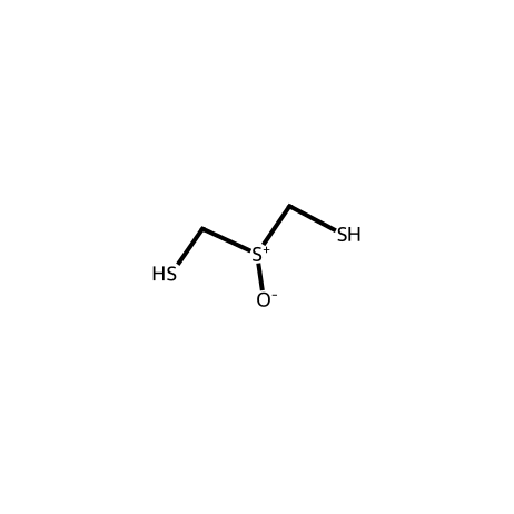 [O-][S+](CS)CS